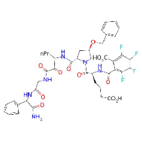 CCCC(NC(=O)[C@@H]1C[C@@H](OCc2ccccc2)CN1C(=O)[C@H](CCCC(=O)O)NC(=O)c1c(F)c(F)c(F)c(F)c1C(=O)O)C(=O)C(=O)NCC(=O)NC(C(N)=O)c1ccccc1